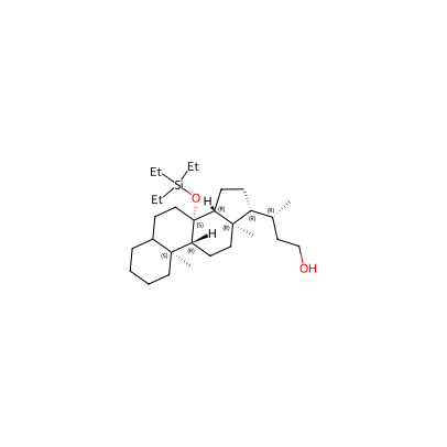 CC[Si](CC)(CC)O[C@@]12CCC3CCCC[C@]3(C)[C@H]1CC[C@]1(C)[C@@H]([C@H](C)CCO)CC[C@H]12